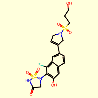 O=C1CN(c2c(O)cc3ccc(C4=CCN(S(=O)(=O)CCCO)C4)cc3c2F)S(=O)(=O)N1